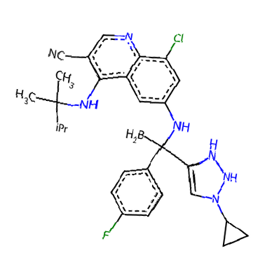 BC(Nc1cc(Cl)c2ncc(C#N)c(NC(C)(C)C(C)C)c2c1)(C1=CN(C2CC2)NN1)c1ccc(F)cc1